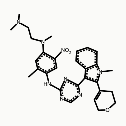 Cc1cc(N(C)CCN(C)C)c([N+](=O)[O-])cc1Nc1ncnc(-c2c(C3=CCOCC3)n(C)c3ccccc23)n1